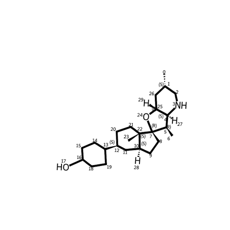 C[C@@H]1CN[C@H]2[C@@H](C)[C@@]3(CC[C@H]4C[C@@H](C5CCC(O)CC5)CC[C@@]43C)O[C@@H]2C1